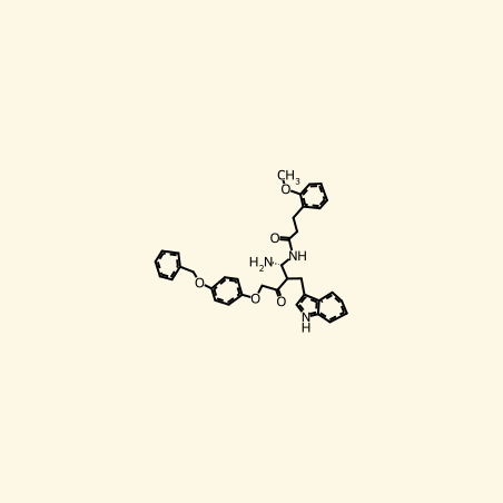 COc1ccccc1CCC(=O)N[C@@H](N)C(Cc1c[nH]c2ccccc12)C(=O)COc1ccc(OCc2ccccc2)cc1